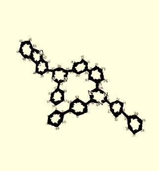 c1ccc(-c2ccc(-c3nc(-c4ccc(-c5ccccc5)cc4)nc(-c4cccc(-c5cccc(-c6cc(-c7ccc8c(c7)oc7ccccc78)nc(-c7ccccc7)n6)c5)c4)n3)cc2)cc1